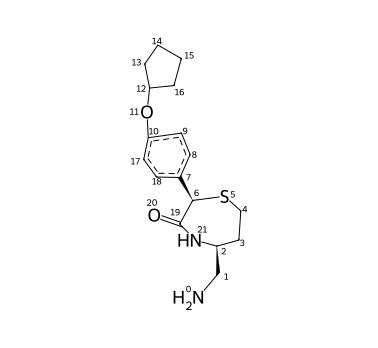 NC[C@@H]1CCS[C@H](c2ccc(OC3CCCC3)cc2)C(=O)N1